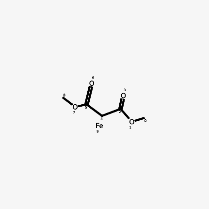 COC(=O)CC(=O)OC.[Fe]